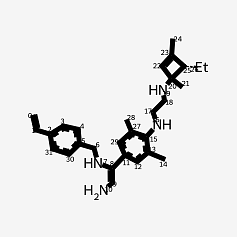 C=Cc1ccc(CN/C(=C\N)c2cc(C)c(NCCNC3(C)C=C(C)[C@@H]3CC)c(C)c2)cc1